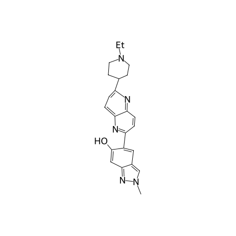 CCN1CCC(c2ccc3nc(-c4cc5cn(C)nc5cc4O)ccc3n2)CC1